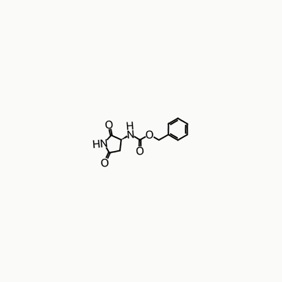 O=C1C[C@H](NC(=O)OCc2ccccc2)C(=O)N1